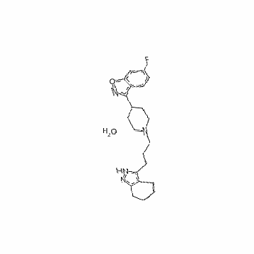 Fc1ccc2c(C3CCN(CCCc4[nH]nc5c4CCCC5)CC3)noc2c1.O